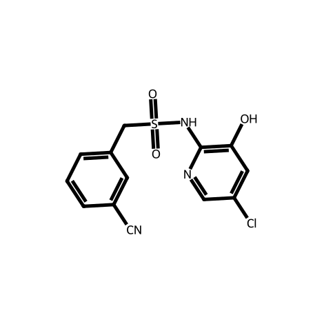 N#Cc1cccc(CS(=O)(=O)Nc2ncc(Cl)cc2O)c1